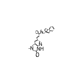 CN1CC(=O)Nc2ncc(C=CC(=O)N(C)Cc3cc4ccccc4o3)cc2C1